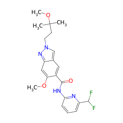 COc1cc2nn(CCC(C)(C)OC)cc2cc1C(=O)Nc1cccc(C(F)F)n1